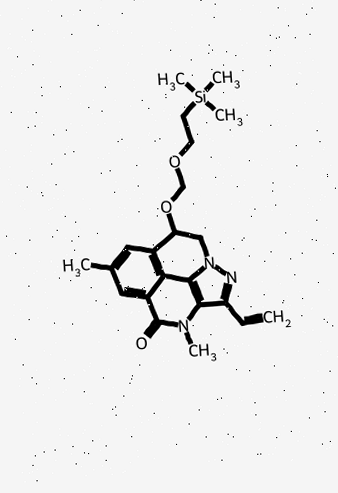 C=Cc1nn2c3c4c(cc(C)cc4c(=O)n(C)c13)C(OCOCC[Si](C)(C)C)C2